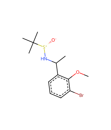 COc1c(Br)cccc1C(C)N[S@@+]([O-])C(C)(C)C